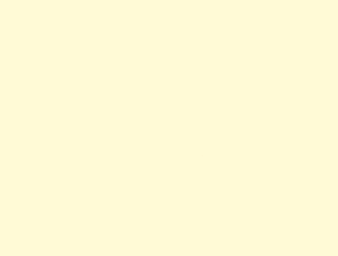 C(C=Cc1ccccc1OCc1ccccc1)=Cc1ccccc1